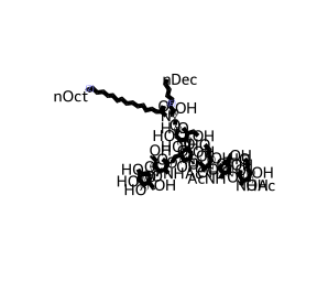 CCCCCCCC/C=C\CCCCCCCCCCCCCC(=O)N[C@@H](CO[C@@H]1OC(CO)[C@@H](O[C@@H]2OC(CO[C@@H]3OC(CO)[C@@H](O[C@@H]4OC(CO)[C@H](O)[C@H](O)C4O)[C@H](O)C3NC(C)=O)[C@H](O)[C@H](O[C@H]3OC(CO)[C@H](O)[C@H](O[C@@H]4OC(CO)[C@H](O)[C@H](O[C@H]5OC(CO)[C@H](O)[C@H](O)C5NC(C)=O)C4NC(C)=O)C3O)C2O)[C@H](O)C1O)[C@H](O)/C=C/CCCCCCCCCCCCC